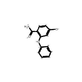 NC(=O)c1ccc(Cl)cc1Oc1ccccc1